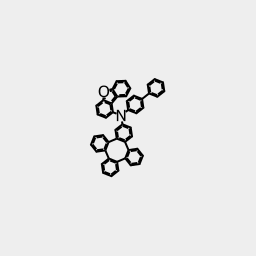 c1ccc(-c2ccc(N(c3ccc4c(c3)-c3ccccc3-c3ccccc3-c3ccccc3-4)c3cccc4oc5ccccc5c34)cc2)cc1